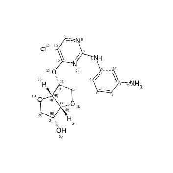 Nc1cccc(Nc2ncc(Cl)c(O[C@@H]3CO[C@H]4[C@@H]3OC[C@H]4O)n2)c1